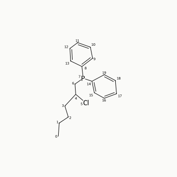 CCCCC(Cl)CP(c1ccccc1)c1ccccc1